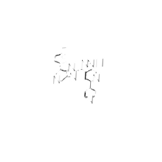 Fc1ccc(-c2cncc3[nH]c(-c4n[nH]c5cnc(-c6ccncc6)cc45)nc23)s1